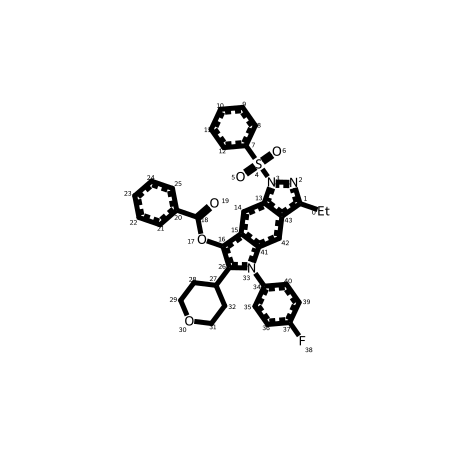 CCc1nn(S(=O)(=O)c2ccccc2)c2cc3c(OC(=O)c4ccccc4)c(C4CCOCC4)n(-c4ccc(F)cc4)c3cc12